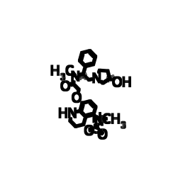 CN(C(=O)COc1ccc(N(C)[SH](=O)=O)c2c1NCCC2)[C@H](CN1CC[C@H](O)C1)c1ccccc1